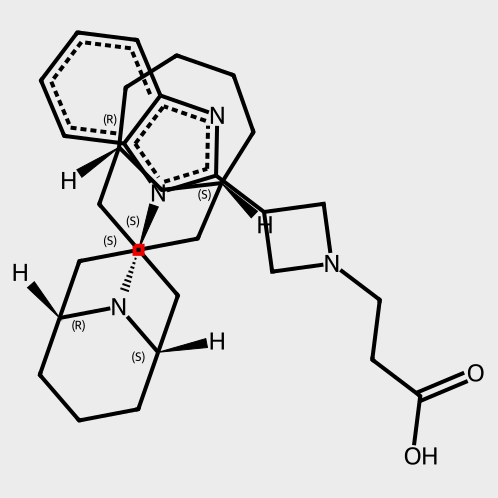 O=C(O)CCN1CC(c2nc3ccccc3n2[C@@H]2C[C@H]3CCC[C@@H](C2)N3[C@@H]2C[C@@H]3CCCC[C@@H](C3)C2)C1